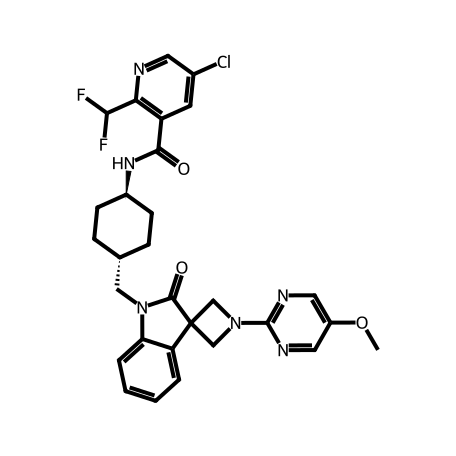 COc1cnc(N2CC3(C2)C(=O)N(C[C@H]2CC[C@H](NC(=O)c4cc(Cl)cnc4C(F)F)CC2)c2ccccc23)nc1